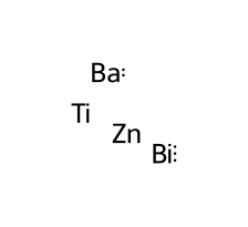 [Ba].[Bi].[Ti].[Zn]